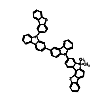 CC1(C)c2cc(-n3c4ccccc4c4cc(-c5ccc6c7ccccc7n(-c7ccc8oc9ccccc9c8c7)c6c5)ccc43)ccc2-c2c1ccc1c2sc2ccccc21